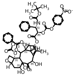 CC(=O)O[C@@]12CO[C@@H]1C[C@H](O)[C@@]1(C)C(=O)[C@H](O)C3=C(C)[C@@H](OC(=O)[C@H](OC(=O)Oc4ccc([N+](=O)[O-])cc4)[C@@H](NC(=O)OC(C)(C)C)c4ccccc4)C[C@@](O)(C(OC(=O)c4ccccc4)C12)C3(C)C